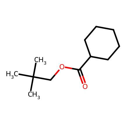 CC(C)(C)COC(=O)C1CCCCC1